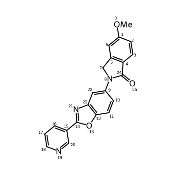 COc1ccc2c(c1)CN(c1ccc3oc(-c4cccnc4)nc3c1)C2=O